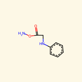 NOC(=O)CNc1ccccc1